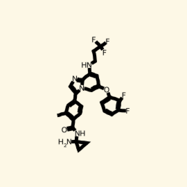 Cc1cc(-c2cnc3c(NCCC(F)(F)F)cc(Oc4cccc(F)c4F)cn23)ccc1C(=O)NC1(N)CC1